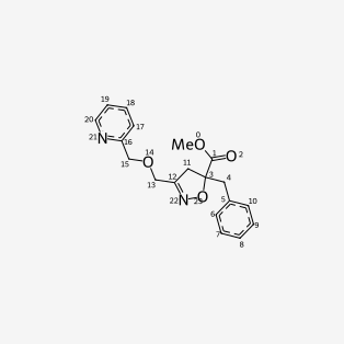 COC(=O)C1(Cc2ccccc2)CC(COCc2ccccn2)=NO1